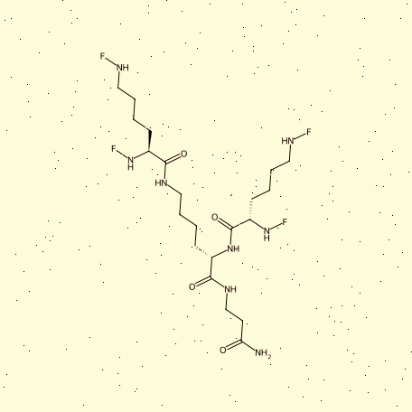 NC(=O)CCNC(=O)[C@H](CCCCNC(=O)[C@H](CCCCNF)NF)NC(=O)[C@H](CCCCNF)NF